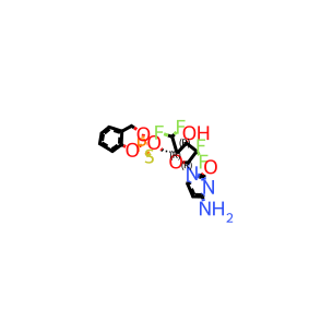 Nc1ccn([C@@H]2O[C@@](COP3(=S)OCc4ccccc4O3)(C(F)F)[C@@H](O)C2(F)F)c(=O)n1